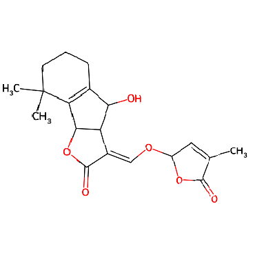 CC1=CC(O/C=C2/C(=O)OC3C4=C(CCCC4(C)C)C(O)C23)OC1=O